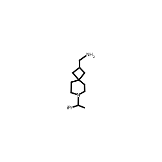 CC(C)C(C)N1CCC2(CC1)CC(CN)C2